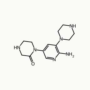 Nc1ncc(N2CCNCC2=O)cc1N1CCNCC1